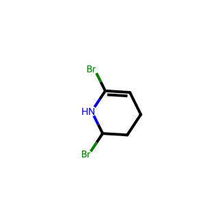 BrC1=CCCC(Br)N1